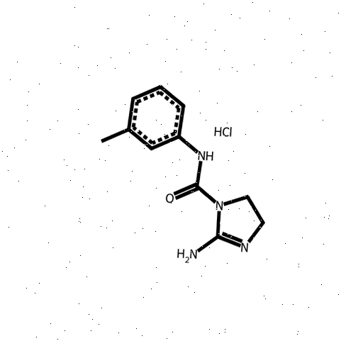 Cc1cccc(NC(=O)N2CCN=C2N)c1.Cl